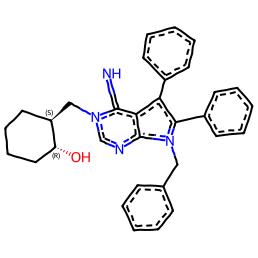 N=c1c2c(-c3ccccc3)c(-c3ccccc3)n(Cc3ccccc3)c2ncn1C[C@@H]1CCCC[C@H]1O